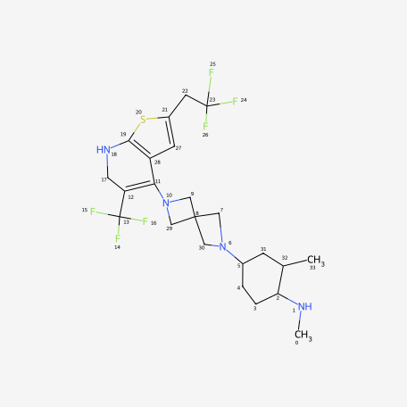 CNC1CCC(N2CC3(CN(C4=C(C(F)(F)F)CNc5sc(CC(F)(F)F)cc54)C3)C2)CC1C